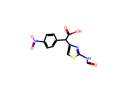 O=CNc1nc(C(C(=O)O)c2ccc([N+](=O)[O-])cc2)cs1